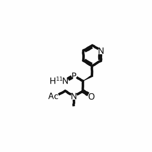 CC(=O)CN(C)C(=O)[C@H](Cc1cccnc1)P=[11NH]